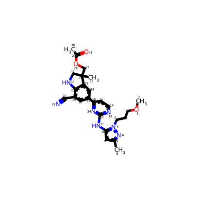 COCCCn1nc(C)cc1Nc1nccc(-c2cc(C#N)c3c(c2)C(C)(COC(C)=O)CN3)n1